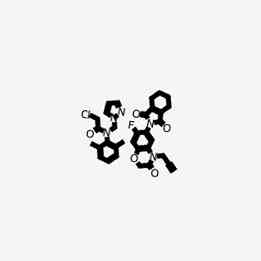 C#CCN1C(=O)COc2cc(F)c(N3C(=O)C4=C(CCCC4)C3=O)cc21.Cc1cccc(C)c1N(Cn1cccn1)C(=O)CCl